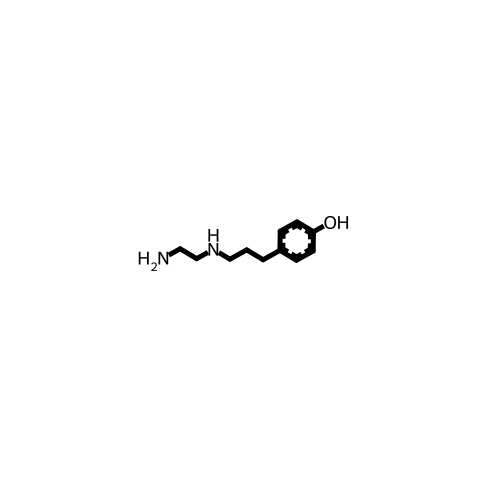 NCCNCCCc1ccc(O)cc1